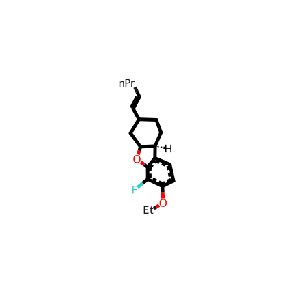 CCCC=CC1CC[C@H]2c3ccc(OCC)c(F)c3OC2C1